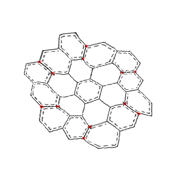 c1ccc2c(-c3c(-c4nccc5ccccc45)c(-c4nccc5ccccc45)c(-c4nccc5ccccc45)c(-c4nccc5ccccc45)c3-c3nccc4ccccc34)nccc2c1